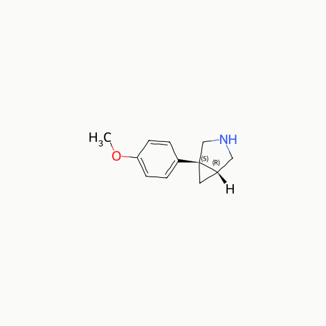 COc1ccc([C@@]23CNC[C@@H]2C3)cc1